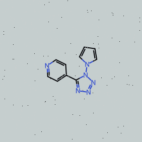 c1ccn(-n2nnnc2-c2ccncc2)c1